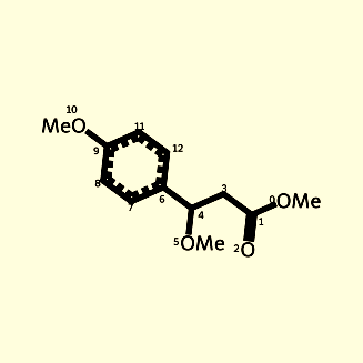 COC(=O)CC(OC)c1ccc(OC)cc1